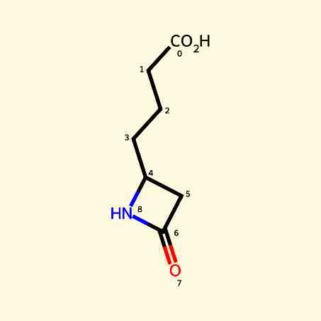 O=C(O)CCCC1CC(=O)N1